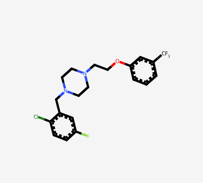 Fc1ccc(Cl)c(CN2CCN(CCOc3c[c]cc(C(F)(F)F)c3)CC2)c1